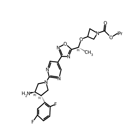 CC(C)OC(=O)N1CC(O[C@H](C)c2nc(-c3cnc(N4C[C@H](c5cc(F)ccc5F)[C@@H](N)C4)nc3)no2)C1